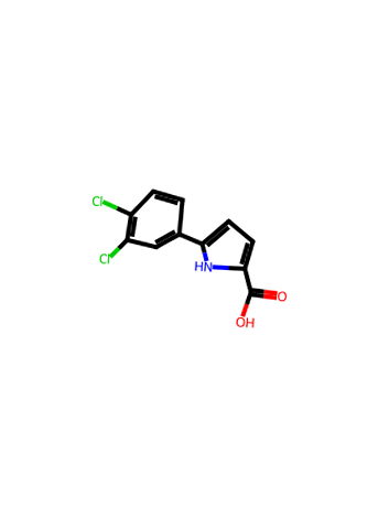 O=C(O)c1ccc(-c2ccc(Cl)c(Cl)c2)[nH]1